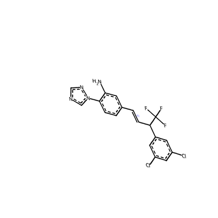 Nc1cc(/C=C/C(c2cc(Cl)cc(Cl)c2)C(F)(F)F)ccc1-n1cncn1